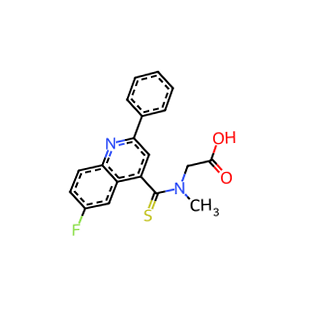 CN(CC(=O)O)C(=S)c1cc(-c2ccccc2)nc2ccc(F)cc12